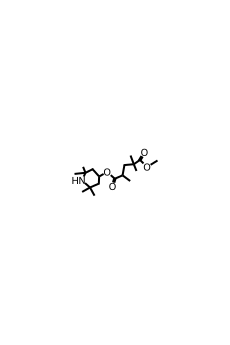 COC(=O)C(C)(C)CC(C)C(=O)OC1CC(C)(C)NC(C)(C)C1